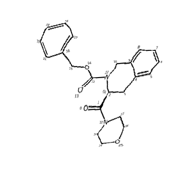 O=C([C@@H]1Cc2ccccc2CN1C(=O)OCc1ccccc1)N1CCOCC1